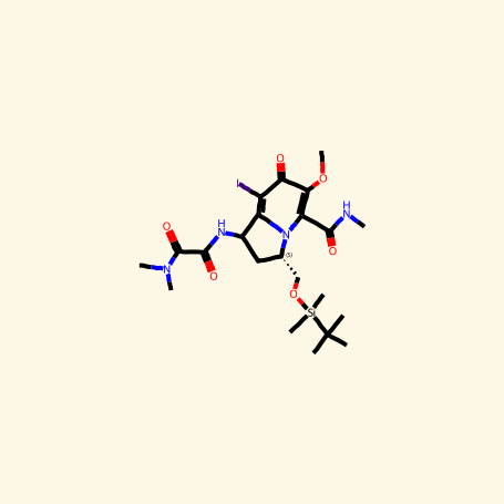 CNC(=O)c1c(OC)c(=O)c(I)c2n1[C@H](CO[Si](C)(C)C(C)(C)C)CC2NC(=O)C(=O)N(C)C